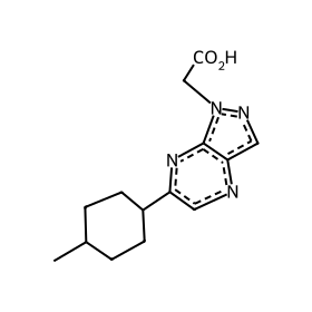 CC1CCC(c2cnc3cnn(CC(=O)O)c3n2)CC1